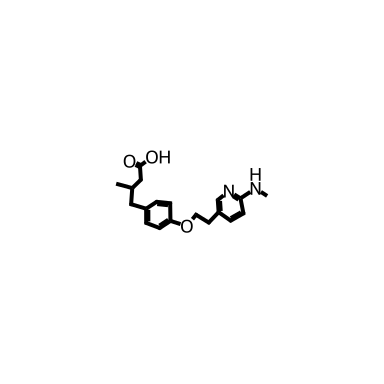 CNc1ccc(CCOc2ccc(CC(C)CC(=O)O)cc2)cn1